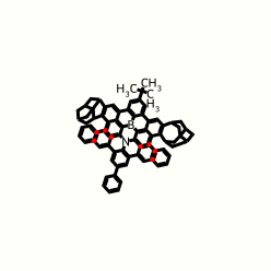 CC(C)(C)c1cc2c3c(c1)-c1cc4c(c5c(-c6ccccc6)cc6c(c15)B3c1c(cc(-c3ccccc3)c3c5c(cc-2c13)C1CC2CC(C1)CC5C2)N6c1c(-c2ccccc2)cc(-c2ccccc2)cc1-c1ccccc1)C1CC2CC3CC4CC32C1